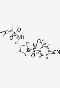 C=CS(=O)(=O)NC[C@H]1CCN(S(=O)(=O)c2ccc(C#N)cc2Cl)C1